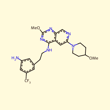 COc1nc(NCCc2cc(N)cc(C(F)(F)F)c2)c2cc(N3CCC(OC)CC3)ncc2n1